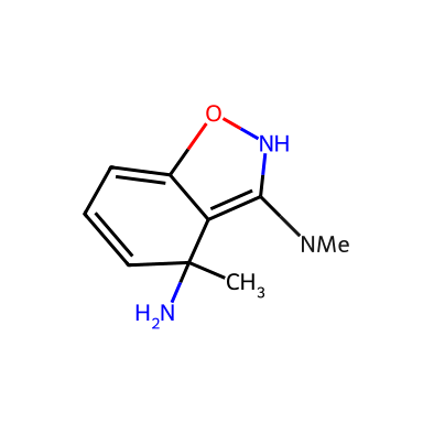 CNC1=C2C(=CC=CC2(C)N)ON1